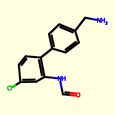 NCc1ccc(-c2ccc(Cl)cc2NC=O)cc1